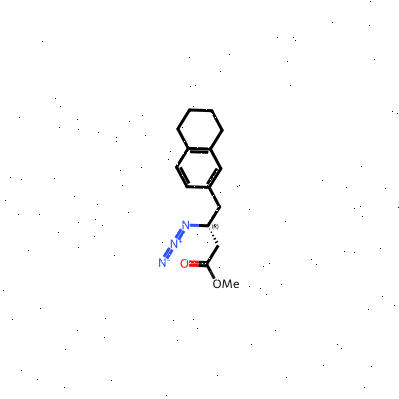 COC(=O)C[C@@H](Cc1ccc2c(c1)CCCC2)N=[N+]=[N-]